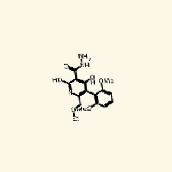 CCOCc1nc(O)c(C(=O)NN)c(O)c1-c1c(OC)cccc1OC